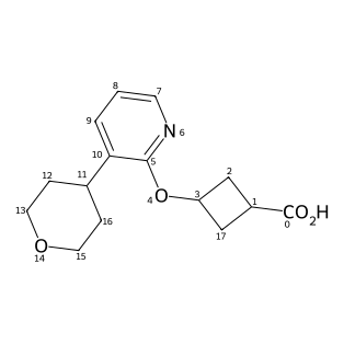 O=C(O)C1CC(Oc2ncccc2C2CCOCC2)C1